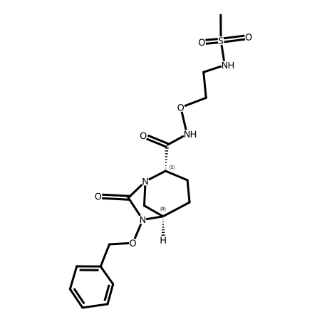 CS(=O)(=O)NCCONC(=O)[C@@H]1CC[C@@H]2CN1C(=O)N2OCc1ccccc1